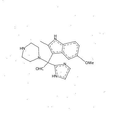 COc1ccc2[nH]c(C)c(C(C=O)(c3ncc[nH]3)N3CCNCC3)c2c1